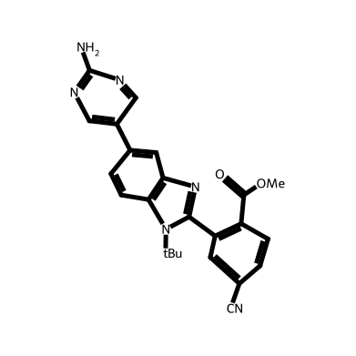 COC(=O)c1ccc(C#N)cc1-c1nc2cc(-c3cnc(N)nc3)ccc2n1C(C)(C)C